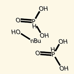 CCCCO.O=[PH](O)O.O=[PH](O)O